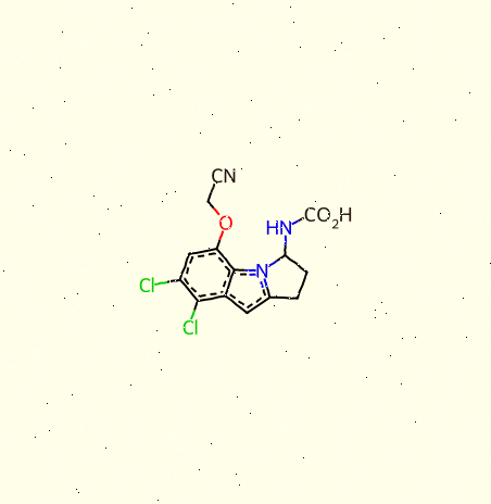 N#CCOc1cc(Cl)c(Cl)c2cc3n(c12)C(NC(=O)O)CC3